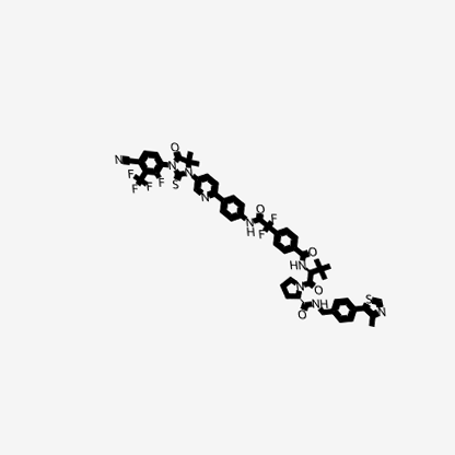 Cc1ncsc1-c1ccc(CNC(=O)[C@@H]2CCCN2C(=O)[C@@H](NC(=O)c2ccc(C(F)(F)C(=O)Nc3ccc(-c4ccc(N5C(=S)N(c6ccc(C#N)c(C(F)(F)F)c6F)C(=O)C5(C)C)cn4)cc3)cc2)C(C)(C)C)cc1